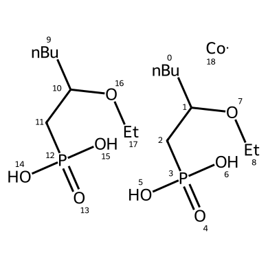 CCCCC(CP(=O)(O)O)OCC.CCCCC(CP(=O)(O)O)OCC.[Co]